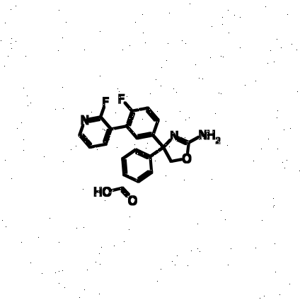 NC1=NC(c2ccccc2)(c2ccc(F)c(-c3cccnc3F)c2)CO1.O=CO